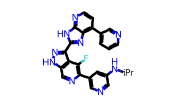 CC(C)Nc1cncc(-c2ncc3[nH]nc(-c4nc5c(-c6cccnc6)ccnc5[nH]4)c3c2F)c1